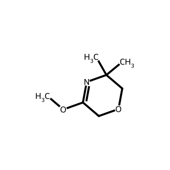 COC1=NC(C)(C)COC1